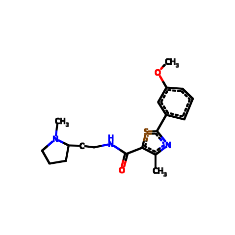 COc1cccc(-c2nc(C)c(C(=O)NCCC3CCCN3C)s2)c1